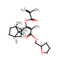 C=C(C)C(=O)O/C(=C(\C)C(=O)OCC1CCCO1)C1C[C@H]2CC[C@@]1(C)C2(C)C